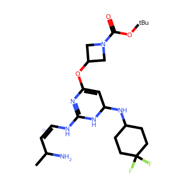 CC(N)/C=C\NC1=NC(OC2CN(C(=O)OC(C)(C)C)C2)=CC(NC2CCC(F)(F)CC2)N1